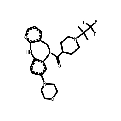 CC(C)(N1CCC(C(=O)N2Cc3cccnc3Nc3ccc(N4CCOCC4)cc32)CC1)C(F)(F)F